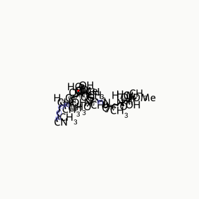 COC[C@H]([C@@H](O)[C@@H](O)C(=O)NCC[C@@H](C)c1nc(/C=C/C[C@H]2O[C@]3(C[C@H](O)[C@H]2C)O[C@@H]([C@@H](C[C@@H](O)[C@@H](C)[C@@H](O)[C@@H](C)/C=C(C)/C(C)=C\C=C\C(C)=C\C#N)OC)[C@@H](OP(=O)(O)O)C3(C)C)co1)N(C)C